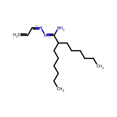 C=C/C=N\N=C(/N)C(CCCCCC)CCCCCC